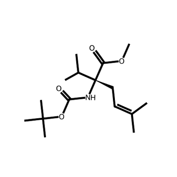 COC(=O)[C@](CC=C(C)C)(NC(=O)OC(C)(C)C)C(C)C